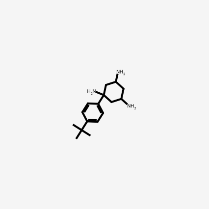 CC(C)(C)c1ccc(C2(N)CC(N)CC(N)C2)cc1